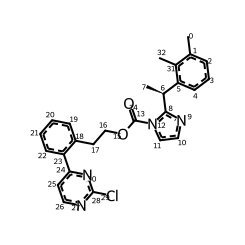 Cc1cccc([C@H](C)c2nccn2C(=O)OCCc2ccccc2-c2ccnc(Cl)n2)c1C